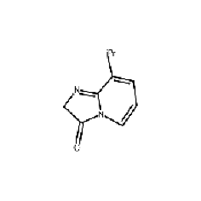 CC(C)C1=CC=CN2C(=O)CN=C12